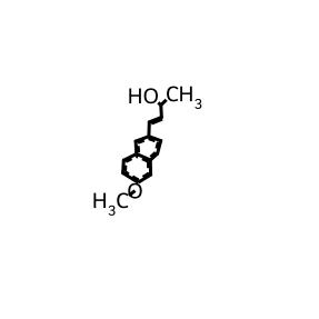 COc1ccc2cc(C=CC(C)O)ccc2c1